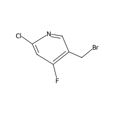 Fc1cc(Cl)ncc1CBr